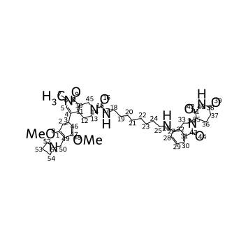 COc1cc(-c2cn(C)c(=O)c3c2CCN(C(=O)NCCCCCCCCNc2cccc4c2CN(C2CCC(=O)NC2=O)C4=O)C3)cc(OC)c1CN1CCC1